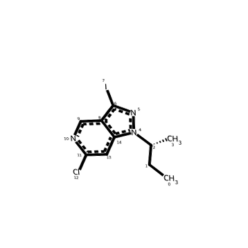 CC[C@@H](C)n1nc(I)c2cnc(Cl)cc21